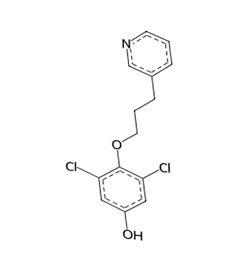 Oc1cc(Cl)c(OCCCc2cccnc2)c(Cl)c1